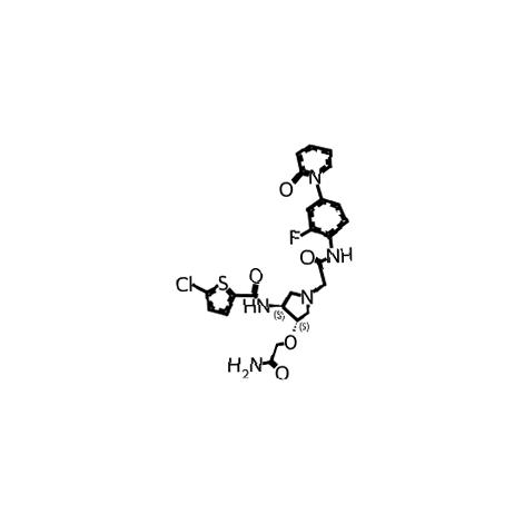 NC(=O)CO[C@H]1CN(CC(=O)Nc2ccc(-n3ccccc3=O)cc2F)C[C@@H]1NC(=O)c1ccc(Cl)s1